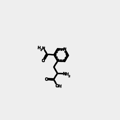 NC(=O)c1cnccc1CC(N)C(=O)O